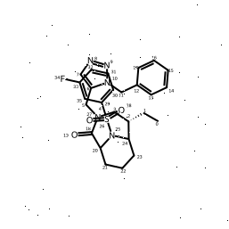 CC[C@H]1CN(Cc2cnnn2Cc2ccccc2)C(=O)C2CCCC1N2S(=O)(=O)c1cccc(F)c1